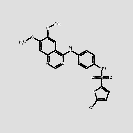 COc1cc2ncnc(Nc3ccc(NS(=O)(=O)c4ccc(Cl)s4)cc3)c2cc1OC